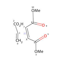 C=CC(=O)O.COC(=O)/C=C\C(=O)OC